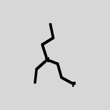 CCCN(CC)CCF